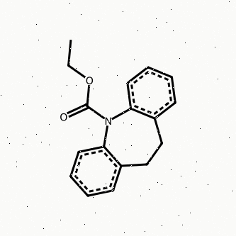 CCOC(=O)N1c2ccccc2CCc2ccccc21